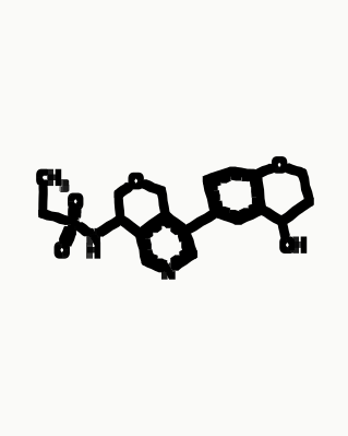 CCS(=O)(=O)NC1COCc2c(-c3ccc4c(c3)C(O)CCO4)cncc21